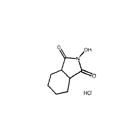 Cl.O=C1C2CCCCC2C(=O)N1O